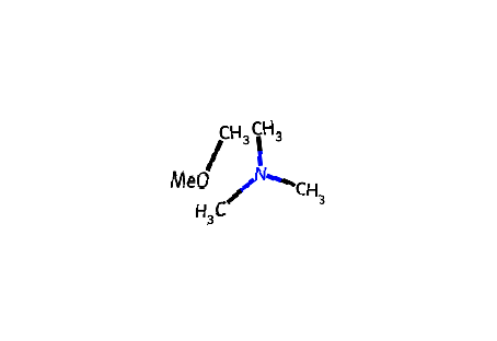 CN(C)C.COC